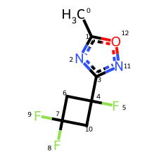 Cc1nc(C2(F)CC(F)(F)C2)no1